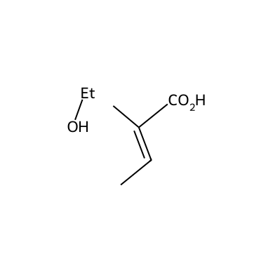 CC=C(C)C(=O)O.CCO